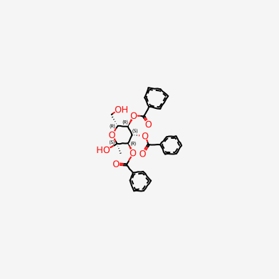 C[C@]1(O)O[C@H](CO)[C@@H](OC(=O)c2ccccc2)[C@H](OC(=O)c2ccccc2)[C@H]1OC(=O)c1ccccc1